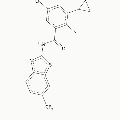 Cc1c(C(=O)Nc2nc3ccc(C(F)(F)F)cc3s2)cc(Cl)cc1C1CC1